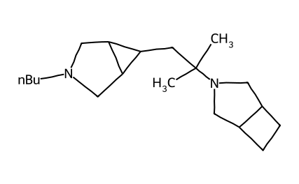 CCCCN1CC2C(C1)C2CC(C)(C)N1CC2CCC2C1